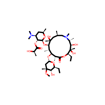 CC[C@@H]1O[C@@H](O[C@H]2[C@H](C)[C@@H](O[C@@H]3O[C@H](C)C[C@H](N(C)C)[C@H]3OC(=O)[C@@H](C)O)[C@](C)(O)C[C@@H](C)CN(C)[C@H](C)[C@@H](O)[C@](C)(O)[C@@H](CC)OC(=O)[C@@H]2C)C[C@@](C)(OC)[C@H]1O